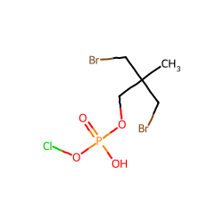 CC(CBr)(CBr)COP(=O)(O)OCl